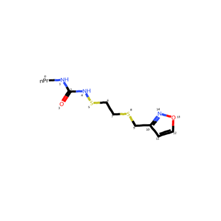 CCCNC(=O)NSCCSCc1ccon1